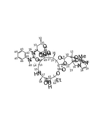 CC[C@H]1OC(=O)[C@H](C)[C@@H](O[C@H]2C[C@@](C)(OC)[C@](O)(Cn3ccnn3)[C@H](C)O2)[C@H](C)[C@@H](O[C@@H]2O[C@H](C)C[C@H](N(C)C(=O)N(C)c3ccccc3)[C@H]2O)[C@](C)(O)C[C@@H](C)CN[C@H](C)[C@@H](O)[C@]1(C)O